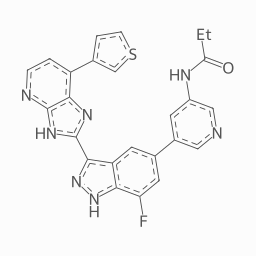 CCC(=O)Nc1cncc(-c2cc(F)c3[nH]nc(-c4nc5c(-c6ccsc6)ccnc5[nH]4)c3c2)c1